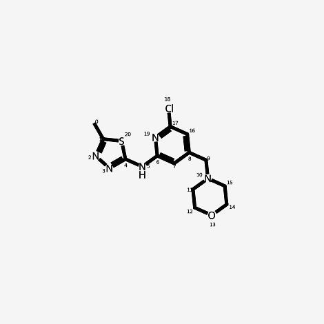 Cc1nnc(Nc2cc(CN3CCOCC3)cc(Cl)n2)s1